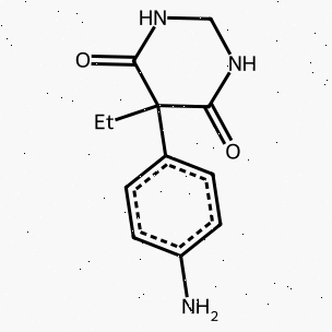 CCC1(c2ccc(N)cc2)C(=O)NCNC1=O